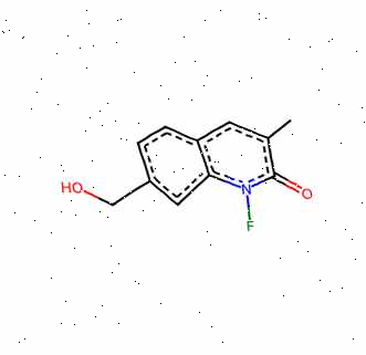 Cc1cc2ccc(CO)cc2n(F)c1=O